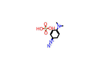 CN(C)C1=CCC(=[N+]=[N-])C=C1.O=S(=O)(O)O